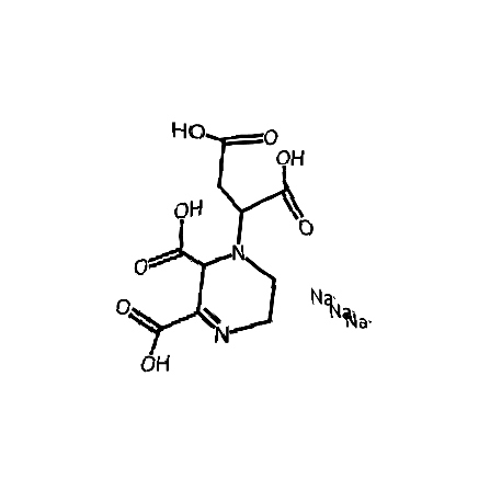 O=C(O)CC(C(=O)O)N1CCN=C(C(=O)O)C1C(=O)O.[Na].[Na].[Na]